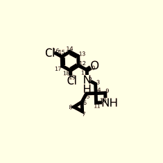 O=C(NCC1(CC2CC2)CNC1)c1ccc(Cl)cc1Cl